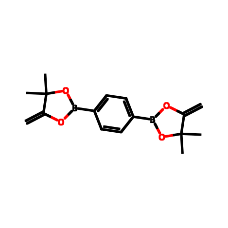 C=C1OB(c2ccc(B3OC(=C)C(C)(C)O3)cc2)OC1(C)C